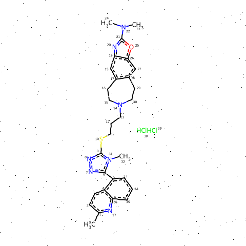 Cc1ccc2c(-c3nnc(SCCCN4CCc5cc6nc(N(C)C)oc6cc5CC4)n3C)cccc2n1.Cl.Cl